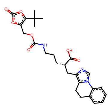 CC(C)(C)c1oc(=O)oc1COC(=O)NCCC[C@@H](Cc1ncn2c1CCc1ccccc1-2)C(=O)O